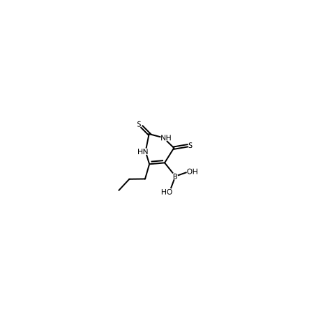 CCCc1[nH]c(=S)[nH]c(=S)c1B(O)O